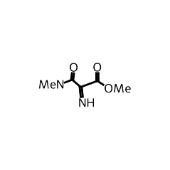 CNC(=O)C(=N)C(=O)OC